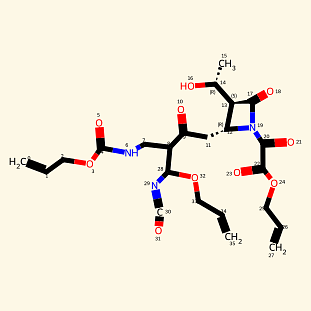 C=CCOC(=O)NCC(C(=O)C[C@@H]1[C@@H]([C@@H](C)O)C(=O)N1C(=O)C(=O)OCC=C)C(N=C=O)OCC=C